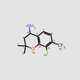 CC1(C)CC(N)c2ccc(C(F)(F)F)c(F)c2O1